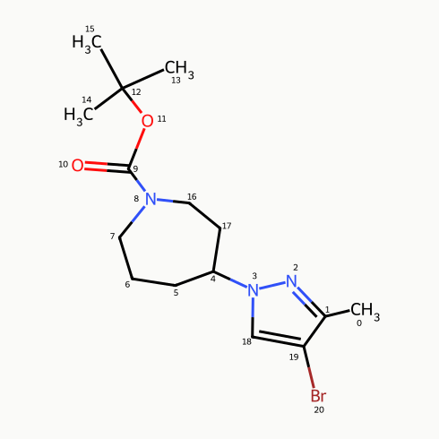 Cc1nn(C2CCCN(C(=O)OC(C)(C)C)CC2)cc1Br